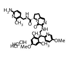 COc1ccc([C@H](CNc2ncc3n(c2=O)[C@H](C(=O)NCc2ccc(N)nc2C)CC3)c2c(C)cc(OC)cc2C)nc1.Cl.Cl.Cl